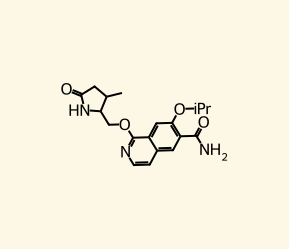 CC(C)Oc1cc2c(OCC3NC(=O)CC3C)nccc2cc1C(N)=O